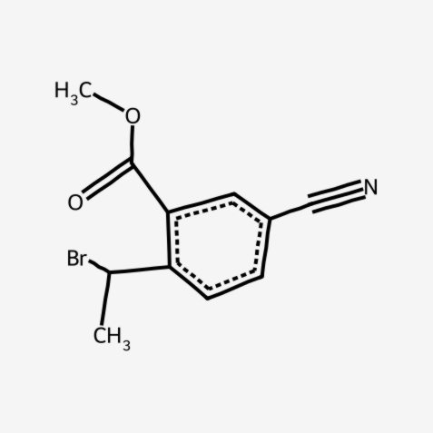 COC(=O)c1cc(C#N)ccc1C(C)Br